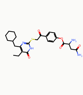 CCc1c(CC2CCCCC2)nc(SCC(=O)c2ccc(OC(=O)C(N)CC(N)=O)cc2)[nH]c1=O